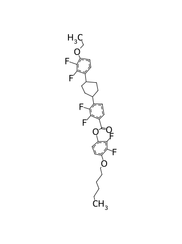 CCCCCCOc1ccc(OC(=O)c2ccc(C3CCC(c4ccc(OCC)c(F)c4F)CC3)c(F)c2F)c(F)c1F